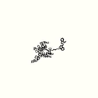 CC(=O)N[C@@H](CC(=O)OC(C)(C)C)C(=O)N[C@@H](CCC(=O)OC(C)(C)C)C(=O)N[C@H](C(=O)N[C@@H](CC(=O)OC(C)(C)C)C(=O)NCCNC(=O)CCCCCN1C=CC(=Cc2sc3ccccc3[n+]2C)c2ccccc21)C(C)C